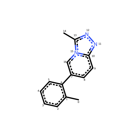 Cc1ccccc1-c1ccc2nnc(C)n2c1